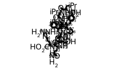 CC(C)C[C@H](N)C(=O)N[C@H](C(=O)N[C@H](C(=O)N[C@@H](Cc1ccc(O)cc1)C(=O)N1CCC[C@H]1C(=O)N[C@@H](Cc1c[nH]c2ccccc12)C(=O)N[C@H](C(=O)N[C@@H](CCC(N)=O)C(=O)N[C@@H](CCCN=C(N)N)C(=O)O)[C@@H](C)O)C(C)C)C(C)C